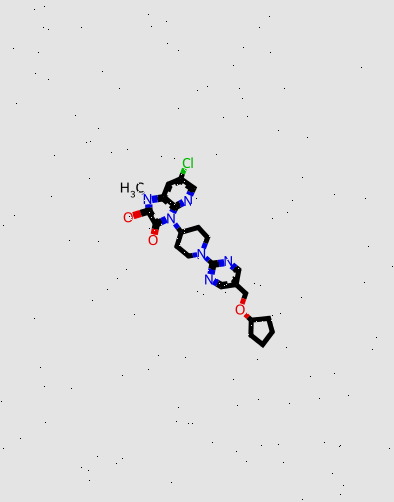 Cn1c(=O)c(=O)n(C2CCN(c3ncc(COC4CCCC4)cn3)CC2)c2ncc(Cl)cc21